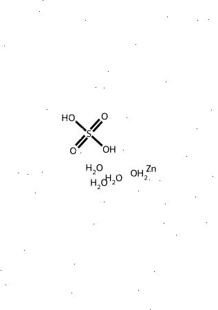 O.O.O.O.O=S(=O)(O)O.[Zn]